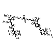 CN[C@@H](CCC(=O)NC[C@H](O)[C@@H](O)[C@H](O)[C@H](O)CO)C(=O)N[C@@H](CSSCCOC(=O)NCCCC[C@H](NC(=O)c1ccc(NCc2cnc3nc(N)nc(N)c3n2)cc1)C(=O)O)C(=O)O